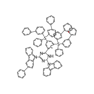 c1ccc(-c2cccc(S(c3ccccc3)(c3cccc(-c4ccccc4)c3)c3cc(C4=NC(n5c6ccccc6c6cc(-c7ccccc7)ccc65)=NC(n5c6ccccc6c6ccccc65)N4)cc(S(c4ccccc4)(c4cccc(-c5ccccc5)c4)c4cccc(-c5ccccc5)c4)c3)c2)cc1